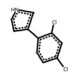 Clc1c[c]c(-c2cc[nH]c2)c(Cl)c1